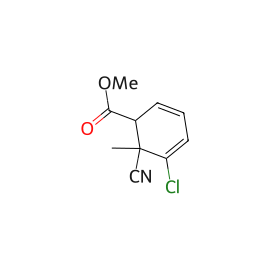 COC(=O)C1C=CC=C(Cl)C1(C)C#N